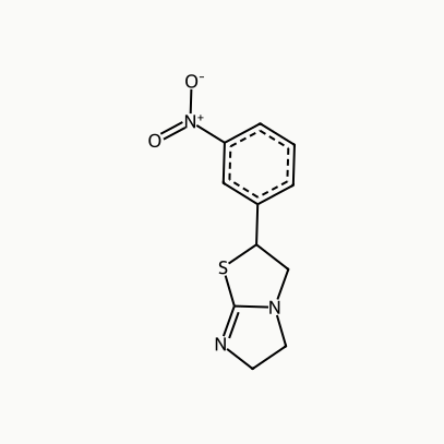 O=[N+]([O-])c1cccc(C2CN3CCN=C3S2)c1